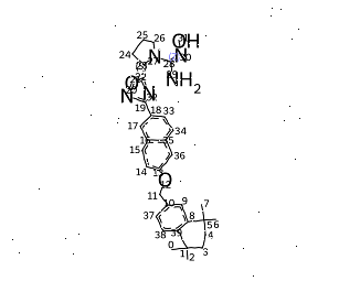 CC1(C)CCC(C)(C)c2cc(COc3ccc4cc(-c5noc([C@@H]6CCCN6/C(N)=N\O)n5)ccc4c3)ccc21